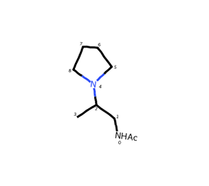 CC(=O)NCC(C)N1CCCC1